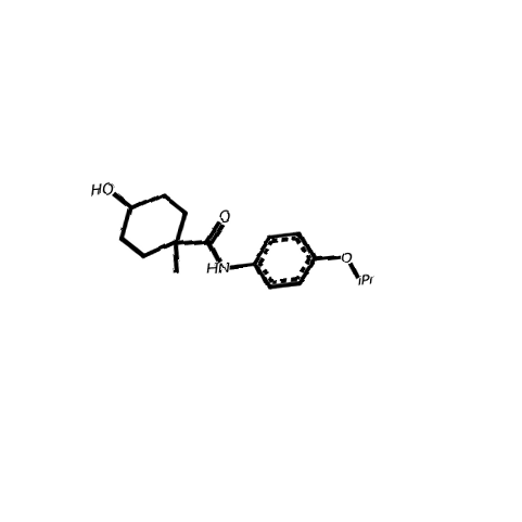 CC(C)Oc1ccc(NC(=O)C2(C)CCC(O)CC2)cc1